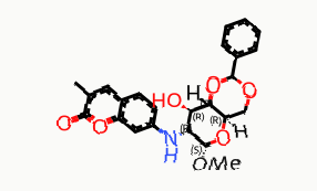 CO[C@H]1O[C@@H]2COC(c3ccccc3)O[C@H]2[C@H](O)[C@H]1Nc1ccc2cc(C)c(=O)oc2c1